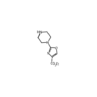 CCOC(=O)c1coc(N2CCNCC2)n1